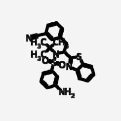 CC(C)(C)N(C(Cc1cccc(C#N)c1)c1nc2ccccc2s1)S(=O)(=O)c1cccc(N)c1